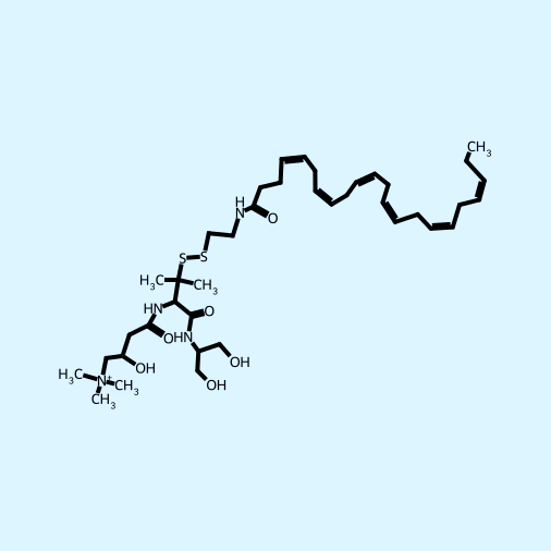 CC/C=C\C/C=C\C/C=C\C/C=C\C/C=C\C/C=C\CCC(=O)NCCSSC(C)(C)C(NC(=O)CC(O)C[N+](C)(C)C)C(=O)NC(CO)CO